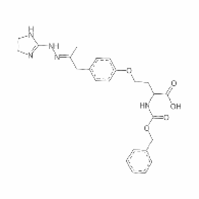 C/C(Cc1ccc(OCCC(NC(=O)OCc2ccccc2)C(=O)O)cc1)=N\NC1=NCCN1